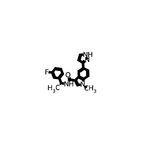 C[C@H](NC(=O)c1cn(C)c2ccc(-c3cc[nH]n3)cc12)c1cccc(F)c1